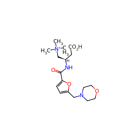 C[N+](C)(C)C[C@@H](CC(=O)O)NC(=O)c1ccc(CN2CCOCC2)o1